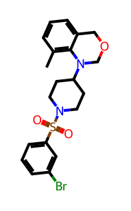 Cc1cccc2c1N(C1CCN(S(=O)(=O)c3cccc(Br)c3)CC1)COC2